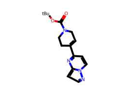 CC(C)(C)OC(=O)N1CC=C(c2ccn3nccc3n2)CC1